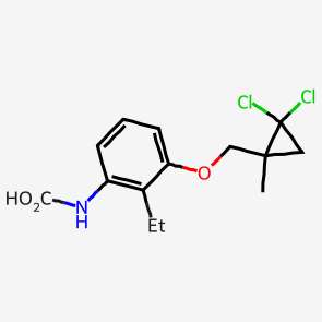 CCc1c(NC(=O)O)cccc1OCC1(C)CC1(Cl)Cl